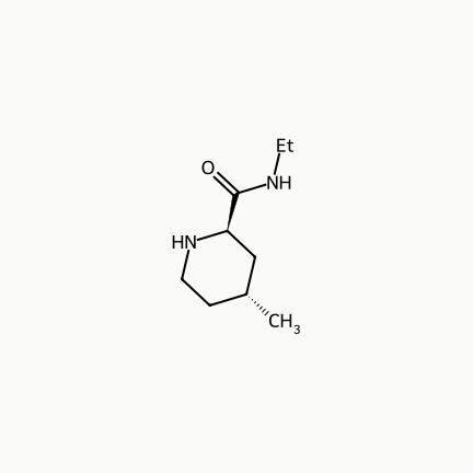 CCNC(=O)[C@H]1C[C@H](C)CCN1